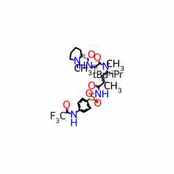 C/C(=C\[C@H](C(C)C)N(C)C(=O)[C@@H](NC(=O)[C@H]1CCCCN1C)C(C)(C)C)C(=O)NS(=O)(=O)c1ccc(NC(=O)C(F)(F)F)cc1